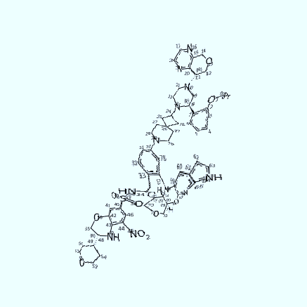 CC(C)Oc1ccccc1[C@@H]1CN([C@H]2COCc3nccnc32)CCN1C1CC2(CCN(c3ccc(C(=O)NS(=O)(=O)c4cc5c(c([N+](=O)[O-])c4)N[C@H](C4CCOCC4)CO5)c(N4c5cc6cc[nH]c6nc5O[C@H]5COCC[C@@H]54)c3)CC2)C1